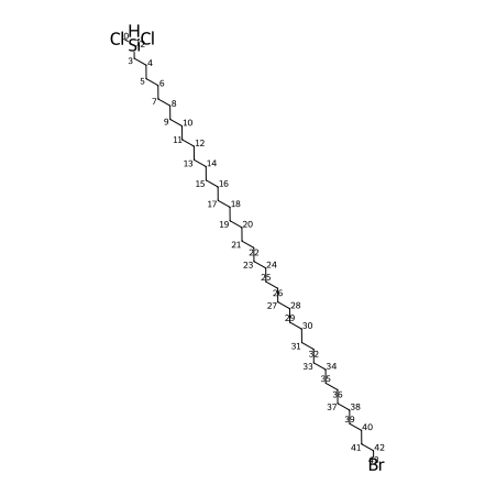 Cl[SiH](Cl)CCCCCCCCCCCCCCCCCCCCCCCCCCCCCCCCCCCCCCCCBr